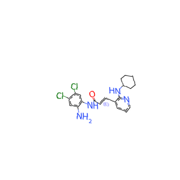 Nc1cc(Cl)c(Cl)cc1NC(=O)/C=C/c1cccnc1NC1CCCCC1